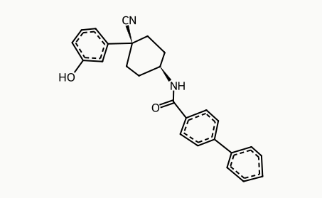 N#C[C@]1(c2cccc(O)c2)CC[C@H](NC(=O)c2ccc(-c3ccccc3)cc2)CC1